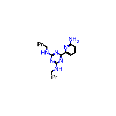 CC(C)CNc1nc(NCC(C)C)nc(-c2cccc(N)n2)n1